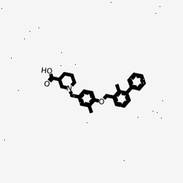 Cc1cc(CN2CCCC(C(=O)O)C2)ccc1OCc1cccc(-c2ccccc2)c1C